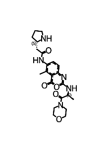 Cc1c(NC(=O)C[C@@H]2CCCN2)ccc2nc(N[C@@H](C)C(=O)N3CCOCC3)oc(=O)c12